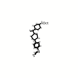 CCCCCCCCC1CCC(C(C)C2CCC(c3ccc(N=C=S)cc3)CC2)CC1